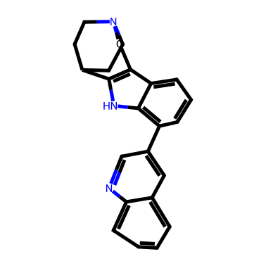 c1ccc2ncc(-c3cccc4c5c([nH]c34)C3CCN(CC3)C5)cc2c1